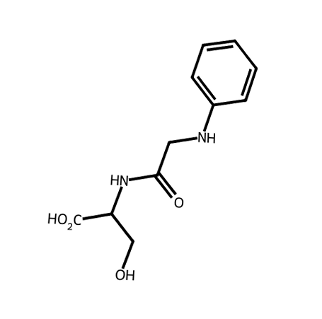 O=C(CNc1ccccc1)NC(CO)C(=O)O